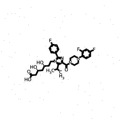 CC(C)c1c(C(=O)N2CCN(c3ccc(F)cc3F)CC2)nc(-c2ccc(F)cc2)n1CC[C@@H](O)C[C@@H](O)CC(=O)O